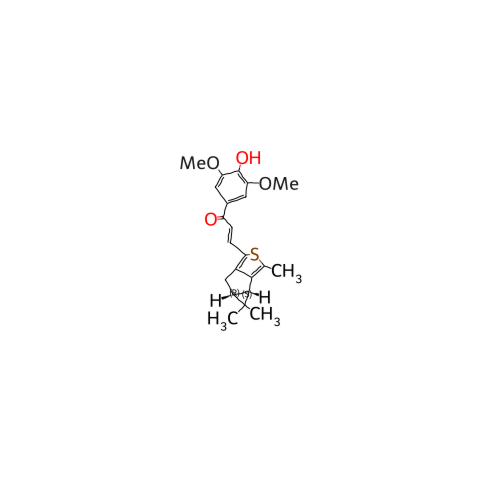 COc1cc(C(=O)C=Cc2sc(C)c3c2C[C@@H]2[C@H]3C2(C)C)cc(OC)c1O